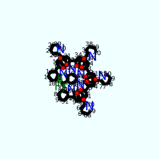 FC(F)(F)c1c(-n2c3ccccc3c3ccccc32)c(-n2c3ccc(-c4ccccn4)cc3c3cc(-c4ccccn4)ccc32)c(-n2c3ccccc3c3ccccc32)c(-n2c3ccc(-c4ccccn4)cc3c3cc(-c4ccccn4)ccc32)c1-n1c2ccccc2c2ccccc21